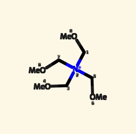 COC[N+](COC)(COC)COC